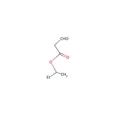 CCC(C)OC(=O)C[C]=O